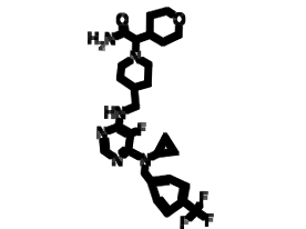 NC(=O)C(C1CCOCC1)N1CCC(CNc2ncnc(N(Cc3ccc(C(F)(F)F)cc3)C3CC3)c2F)CC1